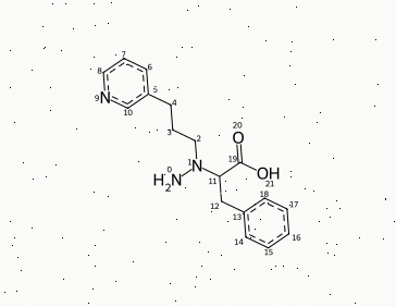 NN(CCCc1cccnc1)C(Cc1ccccc1)C(=O)O